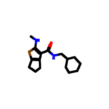 CNc1sc2c(c1C(=O)NCC1CCCCC1)CCC2